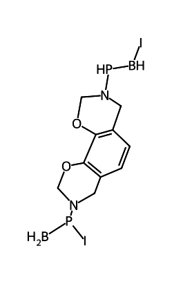 BP(I)N1COc2c(ccc3c2OCN(PBI)C3)C1